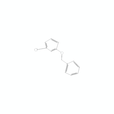 Clc1cc[c]c(OCc2ccccc2)c1